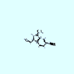 Cn1nc(C=O)c2ccc(C#N)cc21